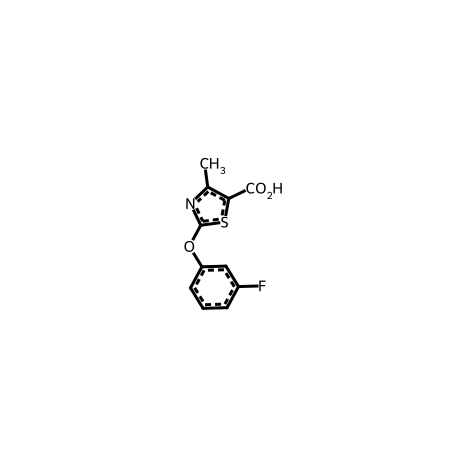 Cc1nc(Oc2cccc(F)c2)sc1C(=O)O